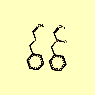 C=CSCc1ccccc1.C=C[S+]([O-])Cc1ccccc1